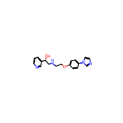 O[C@@H](CNCCOc1ccc(-n2ccnc2)cc1)c1cccnc1